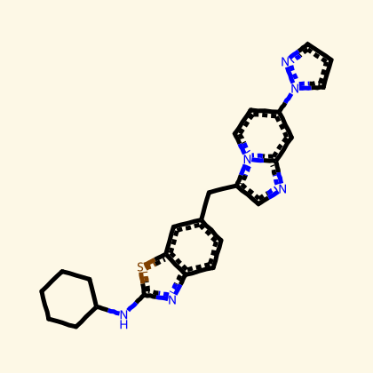 c1cnn(-c2ccn3c(Cc4ccc5nc(NC6CCCCC6)sc5c4)cnc3c2)c1